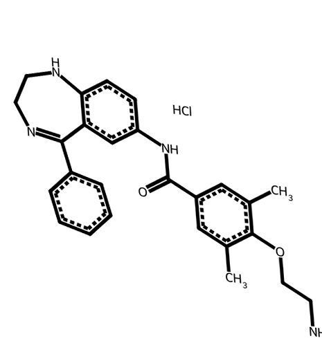 Cc1cc(C(=O)Nc2ccc3c(c2)C(c2ccccc2)=NCCN3)cc(C)c1OCCN.Cl